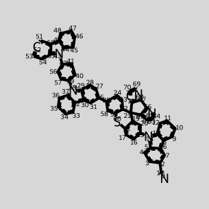 N#Cc1ccc2c(c1)c1ccccc1n2-c1ccc2c(c1)C1(c3ccc(-c4ccc5c(c4)c4ccccc4n5-c4ccc(-n5c6ccccc6c6ccccc65)cc4)cc3S2)c2cccnc2-c2ncccc21